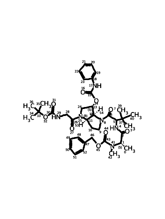 C[C@@H](C(=O)NC(C(=O)N1CC[C@@H]2[C@H]1[C@@H](OC(=O)Nc1ccccc1)CN2C(=O)CNC(=O)OC(C)(C)C)C(C)(C)C)N(C)C(=O)OCc1ccccc1